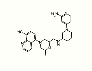 CC1CN(c2ccc(C#N)c3ncccc23)CC(CNC2CCCN(c3ccnc(N)c3)C2)O1